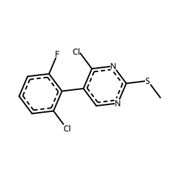 CSc1ncc(-c2c(F)cccc2Cl)c(Cl)n1